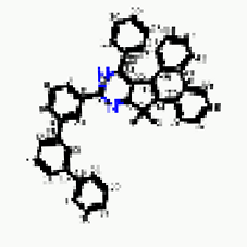 CC1(C)c2nc(-c3cccc(-c4cccc(-c5ccccc5)c4)c3)nc(-c3ccccc3)c2-c2c1c1ccccc1c1ccccc21